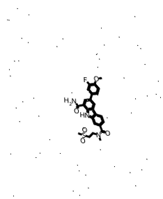 COc1ccc(-c2cc(C(N)=O)c3[nH]c4cc(C(=O)N(C)CCS(C)(=O)=O)ccc4c3c2)cc1F